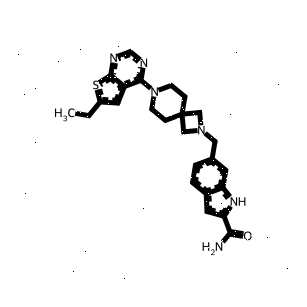 CCc1cc2c(N3CCC4(CC3)CN(Cc3ccc5cc(C(N)=O)[nH]c5c3)C4)ncnc2s1